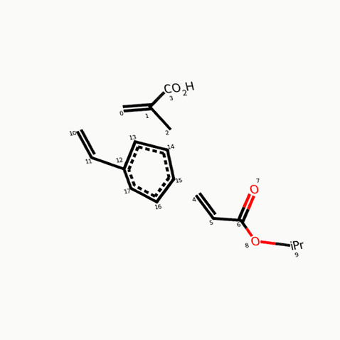 C=C(C)C(=O)O.C=CC(=O)OC(C)C.C=Cc1ccccc1